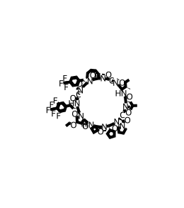 CCO[C@@H]1C[C@H]2C(=O)NC3(CCC3)C(=O)N(C)[C@@H](C3CCCC3)C(=O)N(C)[C@H](C(=O)N3CCCC3)CC(=O)N(C)[C@@H](CC(C)C)C(=O)N[C@@H]([C@@H](C)CC)C(=O)N(C)CC(=O)N(C)[C@H]3C/C=C\CCN(C3=O)[C@@H](Cc3ccc(C(F)(F)F)cc3)C(=O)N(C)CC(=O)N[C@@H](CCc3cc(F)c(C(F)(F)F)c(F)c3)C(=O)N2C1